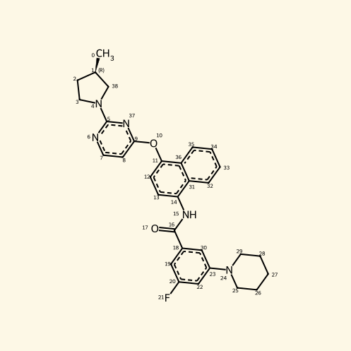 C[C@@H]1CCN(c2nccc(Oc3ccc(NC(=O)c4cc(F)cc(N5CCCCC5)c4)c4ccccc34)n2)C1